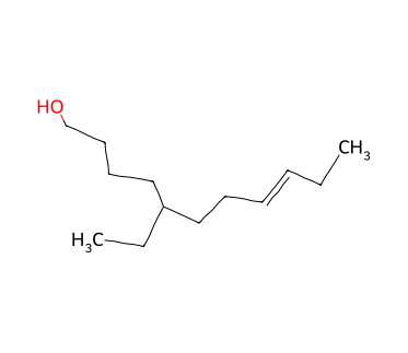 CCC=CCCC(CC)CCCCO